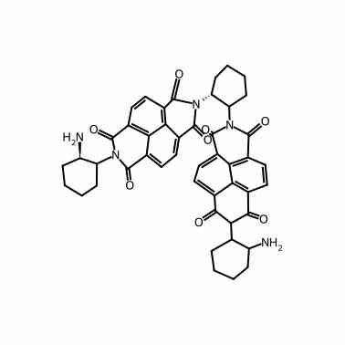 NC1CCCCC1C1C(=O)c2ccc3c4c(ccc(c24)C1=O)C(=O)N(C1CCCC[C@H]1N1C(=O)c2ccc4c5c(ccc(c25)C1=O)C(=O)N(C1CCCC[C@H]1N)C4=O)C3=O